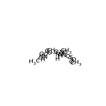 COC(=O)c1cc2cc(NC(=O)c3nc(NC(=O)CCCOc4cc5c(cc4OC)C(=O)N4CCC(C)C[C@H]4C=N5)cn3C)ccc2s1